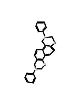 c1ccc(N2COc3c(ccc4c5c(ccc34)OCN(c3ccccc3)C5)C2)cc1